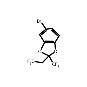 FC(F)(F)CC1(C(F)(F)F)Oc2ccc(Br)cc2O1